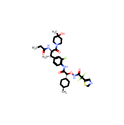 CCC(=O)N[C@@H](C(=O)N1CCC(C)(O)CC1)[C@@H](C)c1ccc(NC(=O)C(ONC(=O)C(F)(F)c2cncs2)[C@H]2CC[C@H](C)CC2)c(F)c1